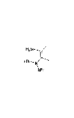 CCCN(CCC)C(C)=C(C)[SiH3]